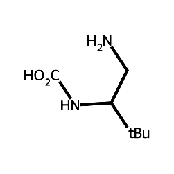 CC(C)(C)C(CN)NC(=O)O